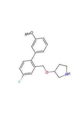 COc1cccc(-c2ccc(F)cc2COC2CCNC2)c1